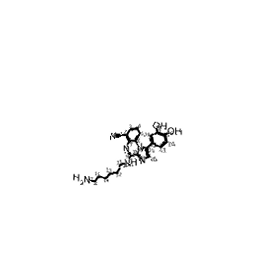 N#Cc1cccc2c1nc(NCCCCCCN)c1ncc(-c3ccc(O)c(O)c3)n12